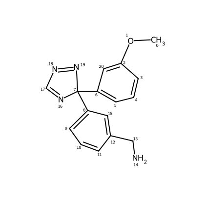 COc1cccc(C2(c3cccc(CN)c3)N=CN=N2)c1